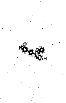 [O-][s+]1cnc2ccc(-c3ccc(CCN4CCNCC4c4nsc5ccccc45)cc3)cc21